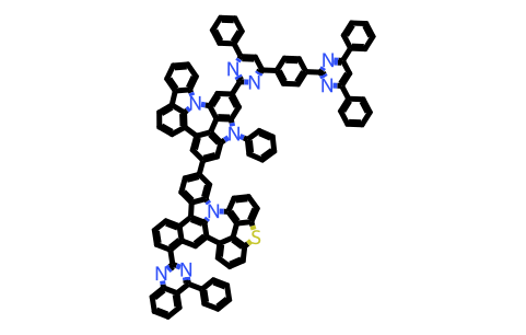 c1ccc(-c2cc(-c3ccccc3)nc(-c3ccc(-c4cc(-c5ccccc5)nc(-c5cc6c7c8c(cc(-c9ccc%10c%11c%12cccc(-c%13nc(-c%14ccccc%14)c%14ccccc%14n%13)c%12cc%12c%13cccc%14sc%15cccc(c%15c%14%13)n(c%10c9)c%12%11)cc8n6-c6ccccc6)c6cccc8c9ccccc9n(c7c5)c68)n4)cc3)n2)cc1